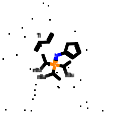 C=CC=C.CCCCC(C)P(=NC1=CC=CC1)(C(C)CCCC)C(C)CCCC.[Ti]